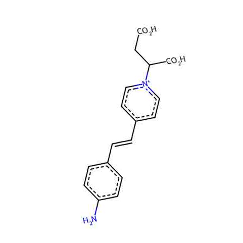 Nc1ccc(/C=C/c2cc[n+](C(CC(=O)O)C(=O)O)cc2)cc1